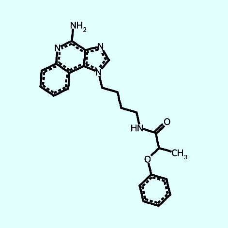 CC(Oc1ccccc1)C(=O)NCCCCn1cnc2c(N)nc3ccccc3c21